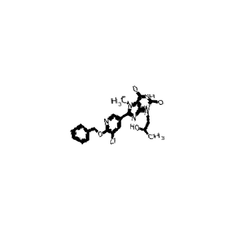 CC(O)Cn1c(=O)[nH]c(=O)c2c1nc(-c1cnc(OCc3ccccc3)c(Cl)c1)n2C